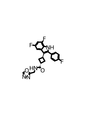 O=C(NCc1nnco1)[C@H]1C[C@H](c2c(-c3ccc(F)cc3)[nH]c3c(F)cc(F)cc32)C1